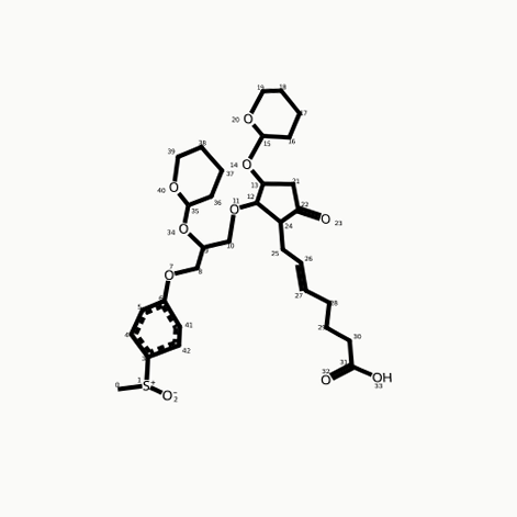 C[S+]([O-])c1ccc(OCC(COC2C(OC3CCCCO3)CC(=O)C2CC=CCCCC(=O)O)OC2CCCCO2)cc1